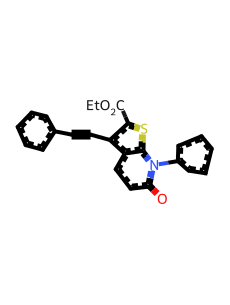 CCOC(=O)c1sc2c(ccc(=O)n2-c2ccccc2)c1C#Cc1ccccc1